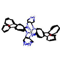 c1ccc(-c2ccc(N3c4cnncc4N(c4ccc(-c5ccccc5)cc4)[Si]34N(c3ccc(-c5ccccc5)cc3)c3cnncc3N4c3ccc(-c4ccccc4)cc3)cc2)cc1